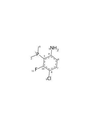 CP(C)c1c(N)ccc(Cl)c1F